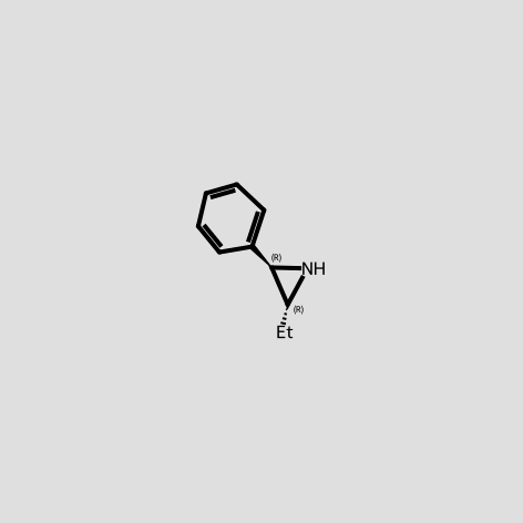 CC[C@H]1N[C@@H]1c1ccccc1